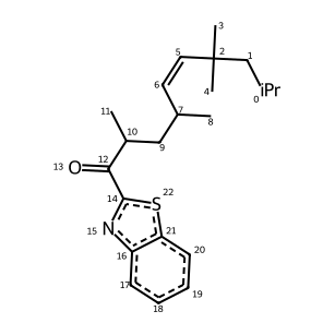 CC(C)CC(C)(C)/C=C\C(C)CC(C)C(=O)c1nc2ccccc2s1